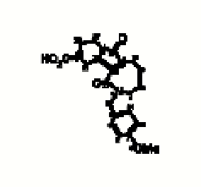 COc1ccc(CN2C/C=C\Cn3c(c4n(c3=O)CCN(C(=O)O)C4)C2=O)cc1